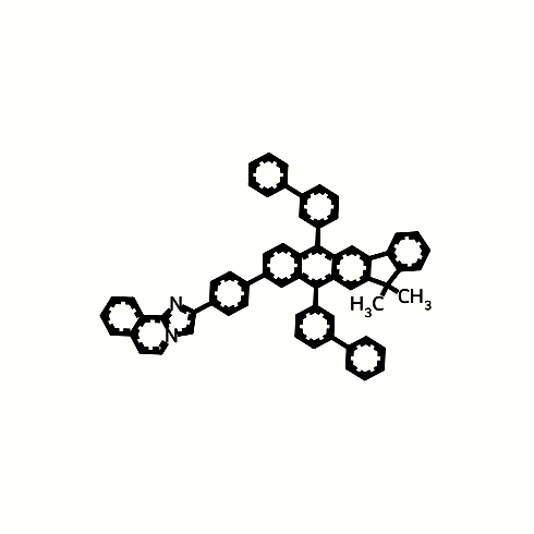 CC1(C)c2ccccc2-c2cc3c(-c4cccc(-c5ccccc5)c4)c4ccc(-c5ccc(-c6cn7ccc8ccccc8c7n6)cc5)cc4c(-c4cccc(-c5ccccc5)c4)c3cc21